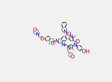 Cc1c(C(=O)N(c2ccc(O)cc2)c2cc(C#N)n(C[C@@H]3CCOC3)c2C)cc(-c2cc3c(cc2C(=O)N2Cc4ccccc4C[C@H]2C)CN(C(=O)Cc2ccc(OCCN4CCOCC4)cc2F)CC3)n1C